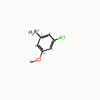 Bc1cc(Cl)cc(OC)c1